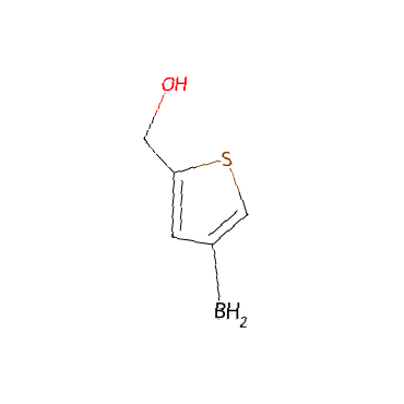 Bc1csc(CO)c1